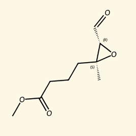 COC(=O)CCC[C@]1(C)O[C@H]1C=O